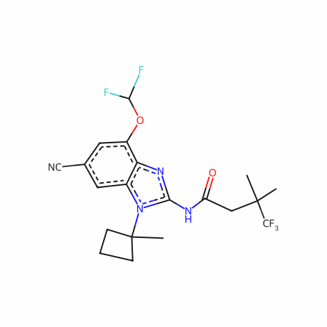 CC1(n2c(NC(=O)CC(C)(C)C(F)(F)F)nc3c(OC(F)F)cc(C#N)cc32)CCC1